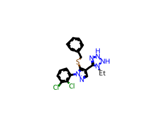 CCN1NNN=C1c1cnn(-c2cccc(Cl)c2Cl)c1SCc1ccccc1